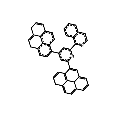 C1=CC2=CC=C3CC=CC4=C3C2C(=C1)C=C4c1nc(-c2nccc3ccccc23)cc(-c2ccc3c4c5c(ccc24)C=CCC5=CC3)n1